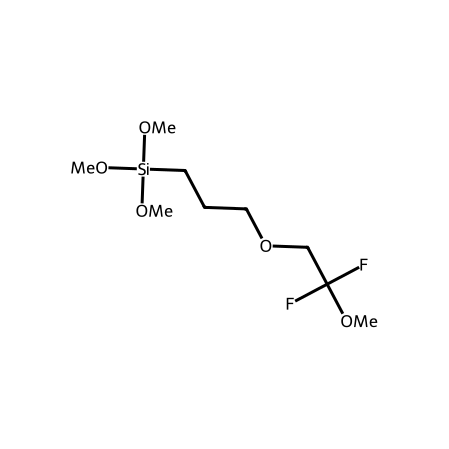 COC(F)(F)COCCC[Si](OC)(OC)OC